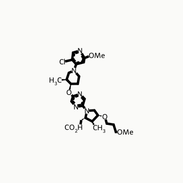 COCCCO[C@H]1CN(c2cnc(O[C@@H]3CCN(c4cc(OC)ncc4Cl)C[C@@H]3C)cn2)[C@@H](CC(=O)O)[C@@H]1C